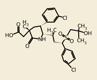 CC(C[C@@H](c1ccc(Cl)cc1)S(=O)(=O)CC(C)(C)O)[C@@H]1NC(=O)[C@](C)(CC(=O)O)C[C@@H]1c1cccc(Cl)c1